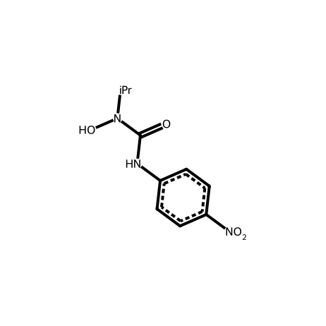 CC(C)N(O)C(=O)Nc1ccc([N+](=O)[O-])cc1